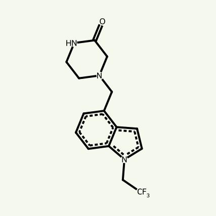 O=C1CN(Cc2cccc3c2ccn3CC(F)(F)F)CCN1